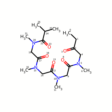 CCC(=O)CN(C)C(=O)CN(C)C(=O)CN(C)C(=O)CN(C)C(=O)C(C)C